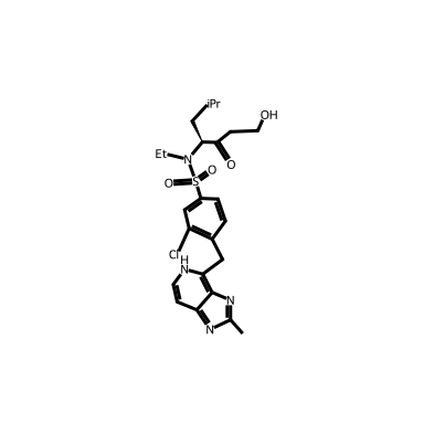 CCN([C@@H](CC(C)C)C(=O)CCO)S(=O)(=O)c1ccc(Cc2[nH]ccc3nc(C)nc2-3)c(Cl)c1